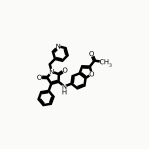 CC(=O)c1cc2cc(NC3=C(c4ccccc4)C(=O)N(Cc4cccnc4)C3=O)ccc2o1